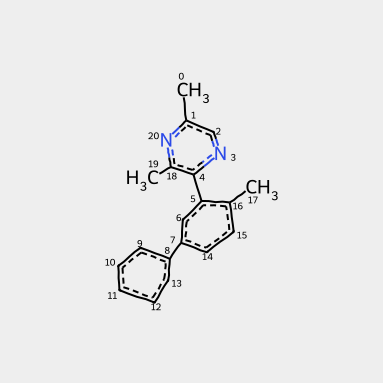 Cc1cnc(-c2cc(-c3ccccc3)ccc2C)c(C)n1